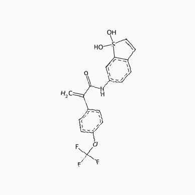 C=C(C(=O)Nc1ccc2c(c1)S(O)(O)C=C2)c1ccc(OC(F)(F)F)cc1